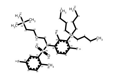 CCC[CH2][Sn]([CH2]CCC)([CH2]CCC)[c]1c(F)ccc(N(COCC[Si](C)(C)C)S(=O)(=O)c2cc(F)ccc2C)c1F